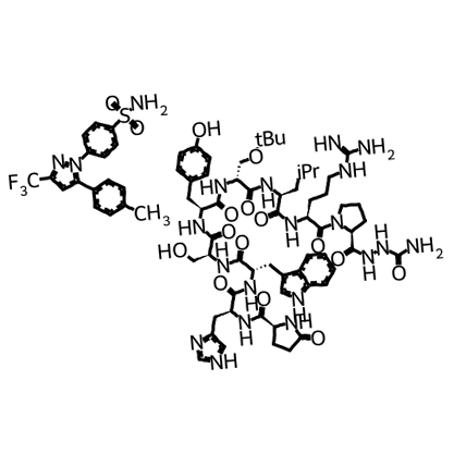 CC(C)C[C@H](NC(=O)[C@@H](COC(C)(C)C)NC(=O)[C@H](Cc1ccc(O)cc1)NC(=O)[C@H](CO)NC(=O)[C@H](Cc1c[nH]c2ccccc12)NC(=O)[C@H](Cc1c[nH]cn1)NC(=O)[C@@H]1CCC(=O)N1)C(=O)N[C@@H](CCCNC(=N)N)C(=O)N1CCC[C@H]1C(=O)NNC(N)=O.Cc1ccc(-c2cc(C(F)(F)F)nn2-c2ccc(S(N)(=O)=O)cc2)cc1